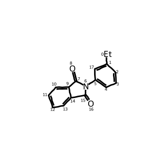 CCc1cccc(N2C(=O)c3ccccc3C2=O)c1